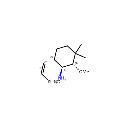 CCCCCCC/C=C\[C@@H]1CCC(C)(C)[C@H](OC)[C@H]1N